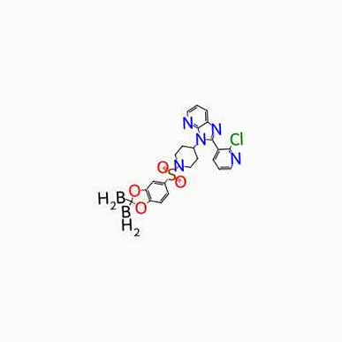 BC1(B)Oc2ccc(S(=O)(=O)N3CCC(n4c(-c5cccnc5Cl)nc5cccnc54)CC3)cc2O1